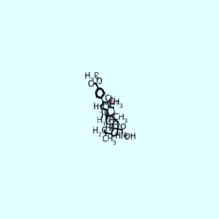 C=C(C)C1CCC2(C(=O)NO)CC[C@]3(N)[C@H](CC[C@@H]4[C@@]5(C)CC=C(c6ccc(C(=O)OC)cc6)C(C)(C)[C@@H]5CC[C@]43C)[C@@H]12